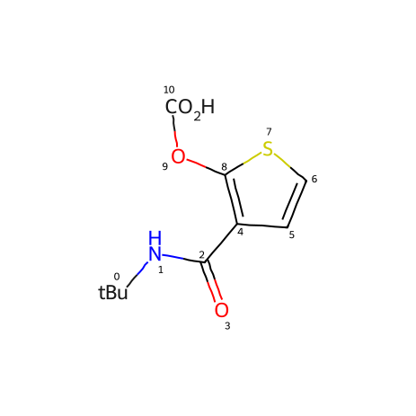 CC(C)(C)NC(=O)c1ccsc1OC(=O)O